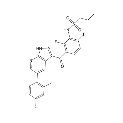 CCCS(=O)(=O)Nc1c(F)ccc(C(=O)c2n[nH]c3ncc(-c4ccc(F)cc4C)cc23)c1F